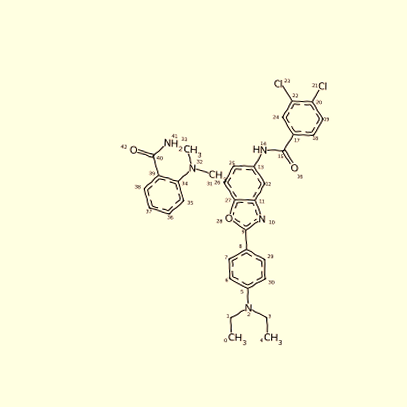 CCN(CC)c1ccc(-c2nc3cc(NC(=O)c4ccc(Cl)c(Cl)c4)ccc3o2)cc1.CN(C)c1ccccc1C(N)=O